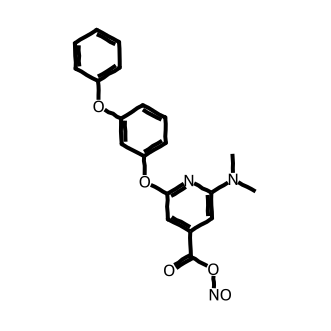 CN(C)c1cc(C(=O)ON=O)cc(Oc2cccc(Oc3ccccc3)c2)n1